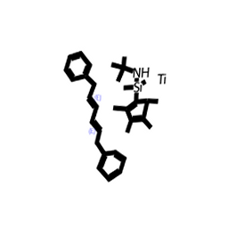 C(/C=C/Cc1ccccc1)=C\Cc1ccccc1.CC1=C(C)C(C)C([Si](C)(C)NC(C)(C)C)=C1C.[Ti]